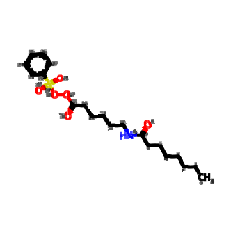 CCCCCCCC(=O)NCCCCCC(=O)OOS(=O)(=O)c1ccccc1